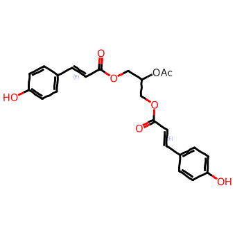 CC(=O)OC(COC(=O)/C=C/c1ccc(O)cc1)COC(=O)/C=C/c1ccc(O)cc1